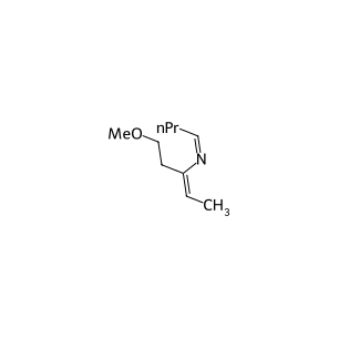 C/C=C(CCOC)\N=C/CCC